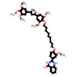 COc1cc(C2NC(=O)c3ccccc3N2)ccc1OCCCCCCCCCOc1c(OC)cc(C2CC(c3cc(OC)c(OC)c(OC)c3)=NO2)cc1OC